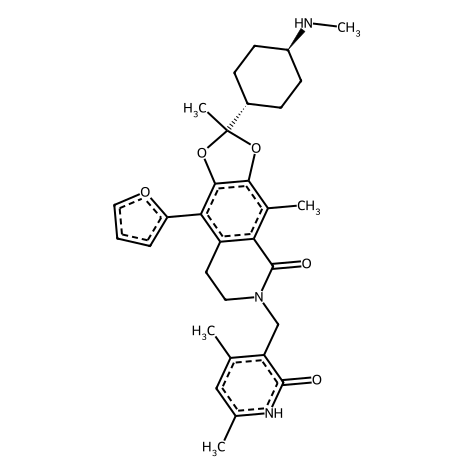 CN[C@H]1CC[C@H](C2(C)Oc3c(C)c4c(c(-c5ccco5)c3O2)CCN(Cc2c(C)cc(C)[nH]c2=O)C4=O)CC1